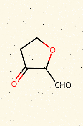 O=CC1OCCC1=O